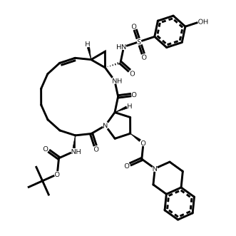 CC(C)(C)OC(=O)N[C@H]1CCCCC/C=C\[C@@H]2C[C@@]2(C(=O)NS(=O)(=O)c2ccc(O)cc2)NC(=O)[C@@H]2C[C@@H](OC(=O)N3CCc4ccccc4C3)CN2C1=O